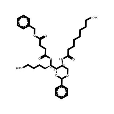 CCCCCCCCCCCCCCCCCC(=O)N[C@H]1COC(c2ccccc2)O[C@@H]1[C@@H](CCCCCCCCCCCCCC)OC(=O)CCC(=O)OCc1ccccc1